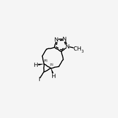 Cn1nnc2c1CC[C@@H]1C(I)[C@@H]1CC2